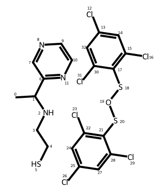 CC(NCCS)c1cnccn1.Clc1cc(Cl)c(SOSc2c(Cl)cc(Cl)cc2Cl)c(Cl)c1